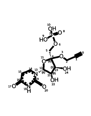 C#CCO[C@]1(COP(=O)(O)O)O[C@@H](n2ccc(=O)[nH]c2=O)[C@H](O)[C@@H]1O